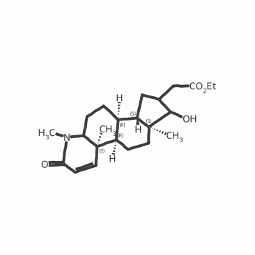 CCOC(=O)CC1C[C@H]2[C@@H]3CCC4N(C)C(=O)C=C[C@]4(C)[C@@H]3CC[C@]2(C)C1O